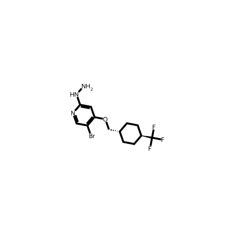 NNc1cc(OC[C@H]2CC[C@H](C(F)(F)F)CC2)c(Br)cn1